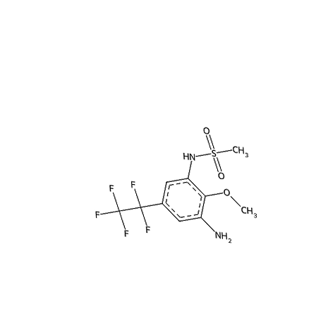 COc1c(N)cc(C(F)(F)C(F)(F)F)cc1NS(C)(=O)=O